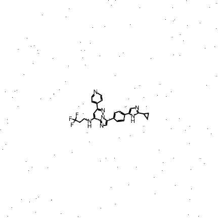 FC(F)(F)CCNc1cc(-c2ccncc2)nn2c(-c3ccc(-c4cnc(C5CC5)[nH]4)cc3)cnc12